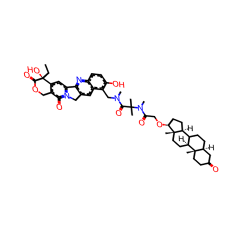 CC[C@@]1(O)C(=O)OCc2c1cc1n(c2=O)Cc2cc3c(CN(C)C(=O)C(C)(C)N(C)C(=O)CO[C@H]4CC[C@H]5C6CC[C@H]7CC(=O)CC[C@]7(C)[C@H]6CC[C@]45C)c(O)ccc3nc2-1